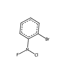 FN(Cl)c1ccccc1Br